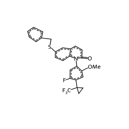 COc1cc(C2(C(F)(F)F)CC2)c(F)cc1-n1c(=O)ccc2cc(SCc3ccccc3)ccc21